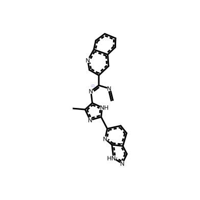 C=N/C(=N\c1[nH]c(-c2ccc3cn[nH]c3n2)nc1C)c1cnc2ccccc2c1